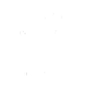 O=C(O)C1CCC(C2C=C(OS(=O)(=O)C(F)(F)F)CCN2)CC1